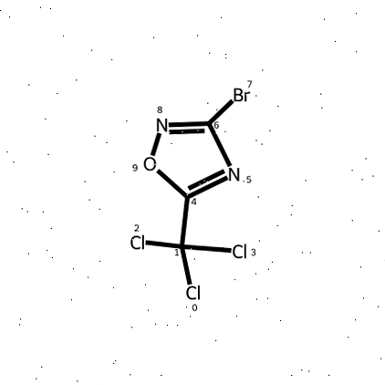 ClC(Cl)(Cl)c1nc(Br)no1